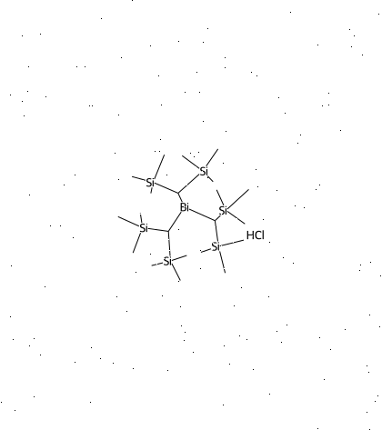 C[Si](C)(C)[CH]([Bi]([CH]([Si](C)(C)C)[Si](C)(C)C)[CH]([Si](C)(C)C)[Si](C)(C)C)[Si](C)(C)C.Cl